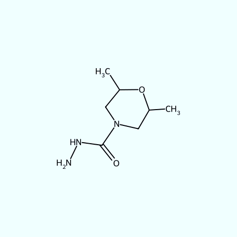 CC1CN(C(=O)NN)CC(C)O1